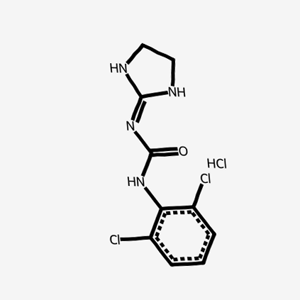 Cl.O=C(N=C1NCCN1)Nc1c(Cl)cccc1Cl